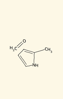 C=O.Cc1ccc[nH]1